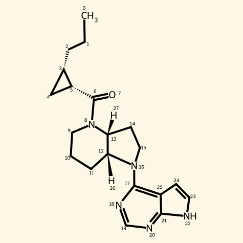 CCC[C@H]1C[C@H]1C(=O)N1CCC[C@@H]2[C@H]1CCN2c1ncnc2[nH]ccc12